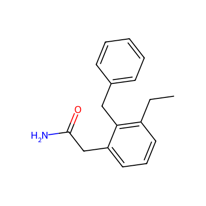 CCc1cccc(CC(N)=O)c1Cc1ccccc1